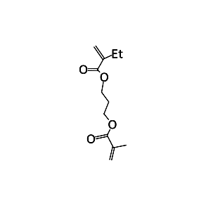 C=C(C)C(=O)OCCCOC(=O)C(=C)CC